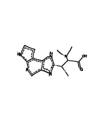 CC(c1nc2cnc3[nH]ccc3c2[nH]1)C(C(=O)O)N(C)C